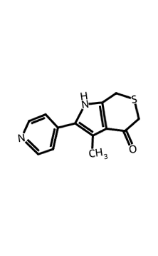 Cc1c(-c2ccncc2)[nH]c2c1C(=O)CSC2